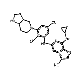 N#Cc1cc(Nc2nc(NC3CC3)c3ncc(C#N)n3n2)c(Cl)c(N2CCC3NCCC3C2)c1